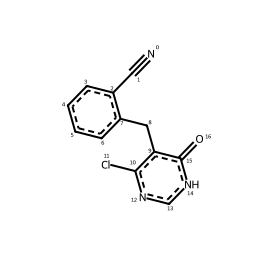 N#Cc1ccccc1Cc1c(Cl)nc[nH]c1=O